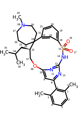 Cc1cccc(C)c1-c1cc2nc(n1)NS(=O)(=O)c1cccc(c1)C1(CCCN(C)CC1)[C@H](CC(C)C)CO2